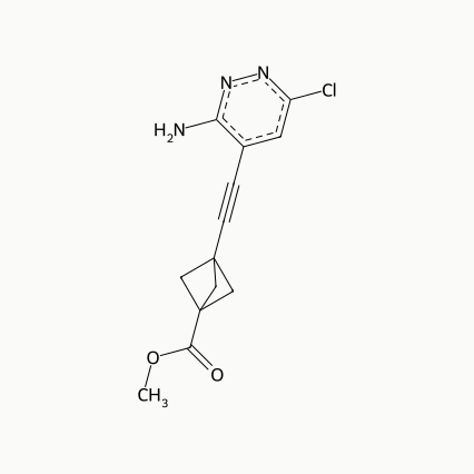 COC(=O)C12CC(C#Cc3cc(Cl)nnc3N)(C1)C2